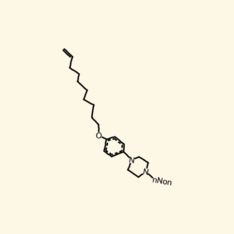 C=CCCCCCCCCOc1ccc(N2CCN(CCCCCCCCC)CC2)cc1